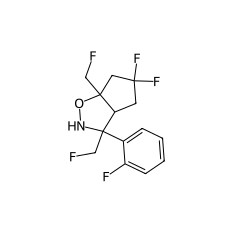 FCC12CC(F)(F)CC1C(CF)(c1ccccc1F)NO2